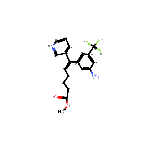 COC(=O)CCCC=C(c1cccnc1)c1cc(N)cc(C(F)(F)F)c1